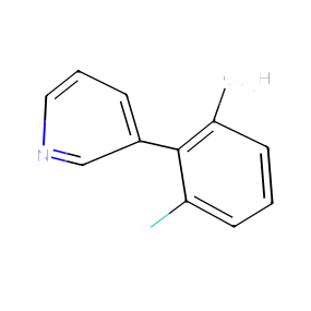 O=C(O)c1cccc(F)c1-c1cccnc1